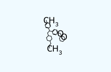 CCCC1CCC(CC(c2ccc(C)cc2)c2ccc(OC3CCCCO3)cc2)CC1